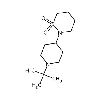 CC(C)(C)N1CCC(N2CCCCS2(=O)=O)CC1